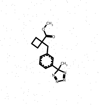 COC(=O)C1(Cc2cccc(C3(C)N=NN=N3)c2)CCC1